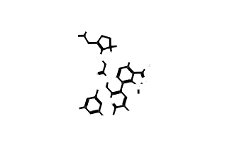 Cc1nc([C@H](Cc2cc(F)cc(F)c2)NC(=O)CNC2=C(CC(F)F)CCC2(F)F)c(-c2ccc(Cl)c3c(N)nn(C)c23)cc1I